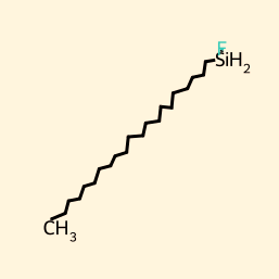 CCCCCCCCCCCCCCCCCCCCCC[SiH2]F